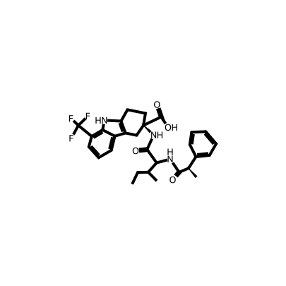 CCC(C)C(NC(=O)[C@H](C)c1ccccc1)C(=O)N[C@]1(C(=O)O)CCc2[nH]c3c(C(F)(F)F)cccc3c2C1